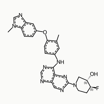 Cc1cc(Nc2ncnc3cnc(N4CC[C@H](F)[C@@H](O)C4)nc23)ccc1Oc1ccc2c(c1)ncn2C